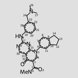 CNC(=O)c1cn(-c2ccc3c(c2)CCC3)c2nc(Nc3cccc(CN(C)C)c3)ncc2c1=O